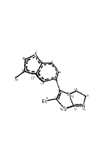 CCC1=C(c2ccc3scc(C)c3c2)N2CCN=C2S1